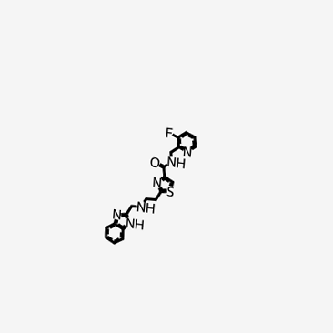 O=C(NCc1ncccc1F)c1csc(CCNCc2nc3ccccc3[nH]2)n1